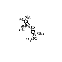 Br.CCOc1cc2c(cc1OCC)C(=N)N(CC(=O)c1ccc(OCC(N)=O)c(C(C)(C)C)c1)C2